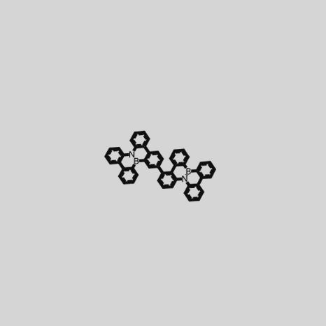 c1ccc2c(c1)B1c3cc(-c4cccc5c4-c4ccccc4B4c6ccccc6-c6ccccc6N45)ccc3-c3ccccc3N1c1ccccc1-2